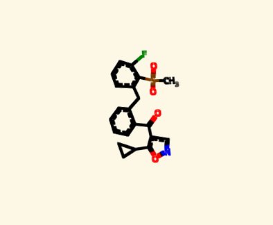 CS(=O)(=O)c1c(F)cccc1Cc1ccccc1C(=O)c1cnoc1C1CC1